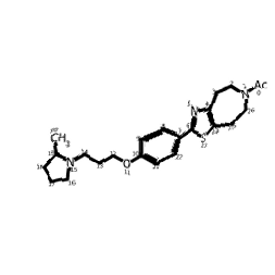 CC(=O)N1CCc2nc(-c3ccc(OCCCN4CCCC4C)cc3)sc2CC1